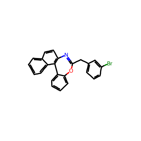 Brc1cccc(CC2=Nc3ccc4ccccc4c3-c3ccccc3O2)c1